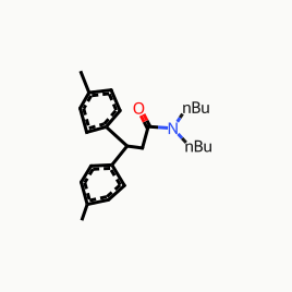 CCCCN(CCCC)C(=O)CC(c1ccc(C)cc1)c1ccc(C)cc1